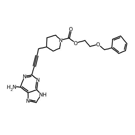 Nc1nc(C#CCC2CCN(C(=O)OCCOCc3ccccc3)CC2)nc2[nH]cnc12